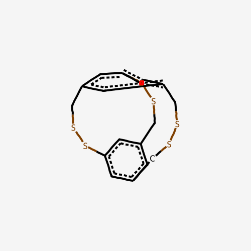 c1c2cc3cc1CSSc1cc(cc(c1)CSS3)CSSC2